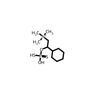 C[N+](C)(C)CC(OP(O)(=S)S)C1CCCCC1